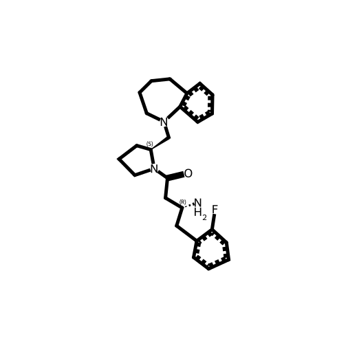 N[C@@H](CC(=O)N1CCC[C@H]1CN1CCCCc2ccccc21)Cc1ccccc1F